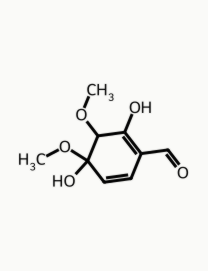 COC1C(O)=C(C=O)C=CC1(O)OC